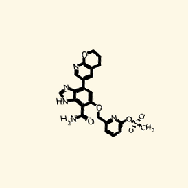 CS(=O)(=O)Oc1cccc(COc2cc(-c3cnc4c(c3)CCCO4)c3nc[nH]c3c2C(N)=O)n1